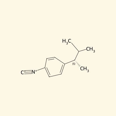 [C-]#[N+]c1ccc([C@@H](C)C(C)C)cc1